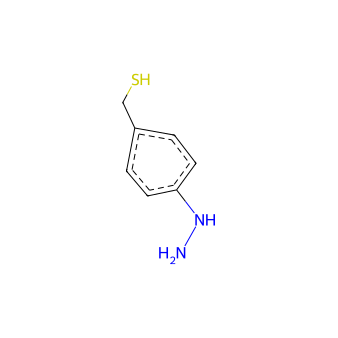 NNc1ccc(CS)cc1